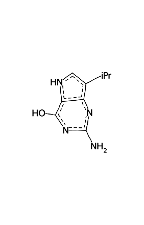 CC(C)c1c[nH]c2c(O)nc(N)nc12